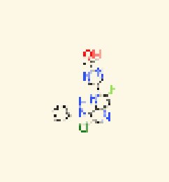 C[C@@H](Nc1c(Cl)cnc2cc(F)c(-c3cnc(C(C)(C)O)nc3)nc12)c1ccccc1